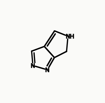 C1=NN=C2CNC=C12